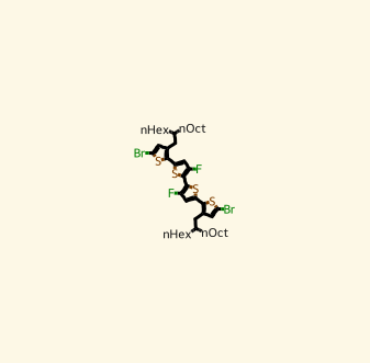 CCCCCCCCC(CCCCCC)Cc1cc(Br)sc1-c1cc(F)c(-c2sc(-c3sc(Br)cc3CC(CCCCCC)CCCCCCCC)cc2F)s1